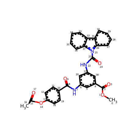 COC(=O)c1cc(NC(=O)c2ccc(OC(C)=O)cc2)cc(NC(=O)n2c3ccccc3c3ccccc32)c1